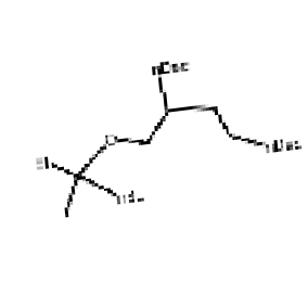 CCCCCCCCCCCCC(CCCCCCCCCC)COC(C)(CC)CCCC